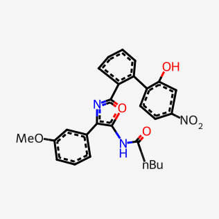 CCCCC(=O)Nc1oc(-c2ccccc2-c2ccc([N+](=O)[O-])cc2O)nc1-c1cccc(OC)c1